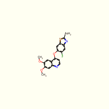 COc1cc2nccc(Oc3cc4sc([AsH2])nc4cc3F)c2cc1OC